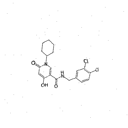 O=C(NCc1ccc(Cl)c(Cl)c1)c1cn(C2CCCCC2)c(=O)cc1O